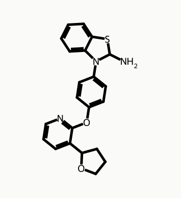 NC1Sc2ccccc2N1c1ccc(Oc2ncccc2C2CCCO2)cc1